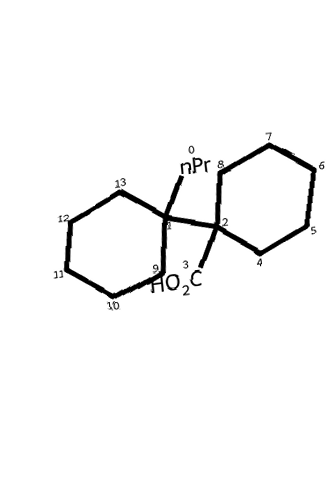 CCCC1(C2(C(=O)O)CCCCC2)CCCCC1